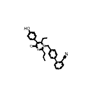 CCCc1nc(=O)c(-c2ccc(O)cc2)c(CC)n1Cc1ccc(-c2ccccc2C#N)cc1